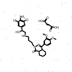 COc1ccc(C2=NN(CCCCNCC(O)c3cc(Cl)c(N)c(Cl)c3)C(=O)C3CCCCC23)cc1OC.O=C(O)C=CC(=O)O